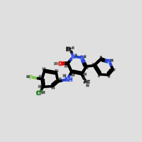 CCn1nc(-c2cccnc2)c(C(C)=O)c(Nc2ccc(F)c(Cl)c2)c1=O